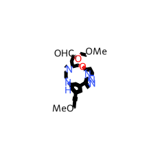 COCC#Cc1cc2cc(c1)-c1cnn3ccc(nc13)OCC(C[C@H](C=O)OCCOC)N(C)CCN2